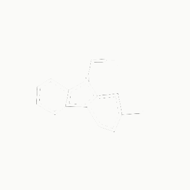 C=Cn1c2ccccc2c2ccc(C)cc21